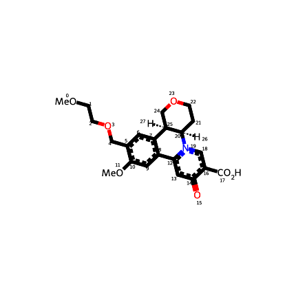 COCCOCc1cc2c(cc1OC)-c1cc(=O)c(C(=O)O)cn1[C@@H]1CCOC[C@H]21